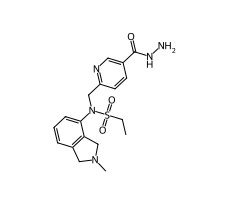 CCS(=O)(=O)N(Cc1ccc(C(=O)NN)cn1)c1cccc2c1CN(C)C2